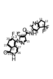 O=C(Nc1cnc2c(c1)C(F)(F)CC2)c1cnn(-c2cccc3c(=O)[nH]ccc23)c1C(F)(F)F